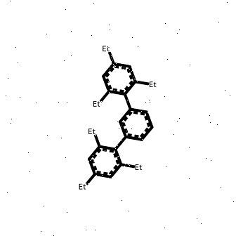 CCc1cc(CC)c(-c2[c]c(-c3c(CC)cc(CC)cc3CC)ccc2)c(CC)c1